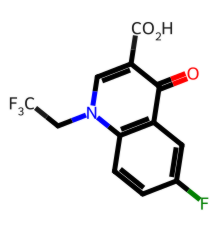 O=C(O)c1cn(CC(F)(F)F)c2ccc(F)cc2c1=O